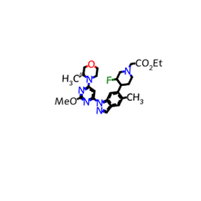 CCOC(=O)CN1CCC(c2cc3c(cnn3-c3cc(N4CCOC[C@H]4C)nc(OC)n3)cc2C)C(F)C1